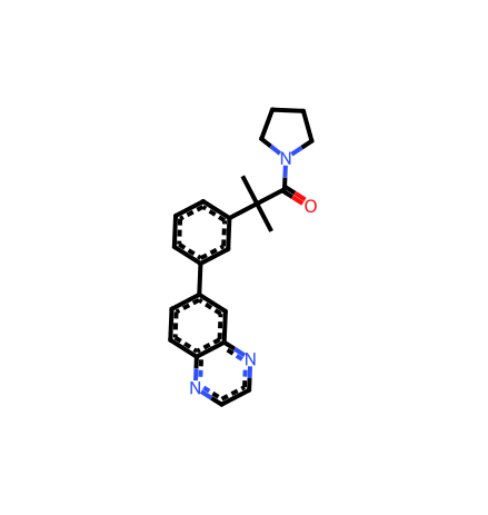 CC(C)(C(=O)N1CCCC1)c1cccc(-c2ccc3nccnc3c2)c1